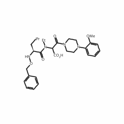 CCN(C(=O)[C@H](CC(C)C)NOCc1ccccc1)C(C(=O)O)C(=O)N1CCN(c2ccccc2OC)CC1